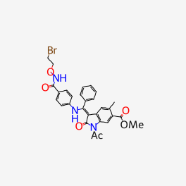 COC(=O)c1cc2c(cc1C)/C(=C(/Nc1ccc(C(=O)NOCCBr)cc1)c1ccccc1)C(=O)N2C(C)=O